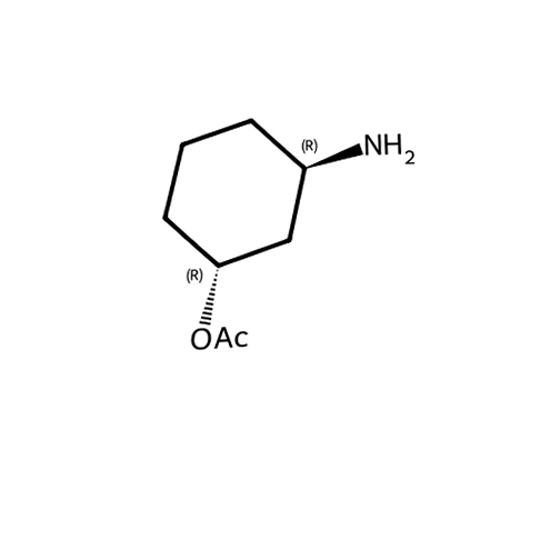 CC(=O)O[C@@H]1CCC[C@@H](N)C1